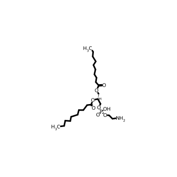 CCCCCCCCCC(=O)OC[C@H](COP(=O)(O)OCCN)OC(=O)CCCCCCCCC